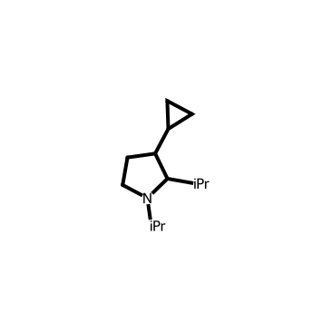 CC(C)C1C(C2CC2)CCN1C(C)C